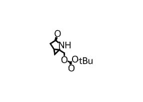 CC(C)(C)OC(=O)OCC12CC1CC(=O)N2